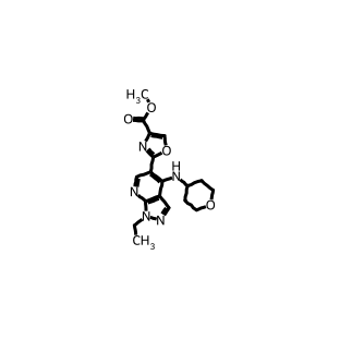 CCn1ncc2c(NC3CCOCC3)c(-c3nc(C(=O)OC)co3)cnc21